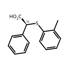 Cc1ccccc1S[C@H](C(=O)O)c1ccccc1